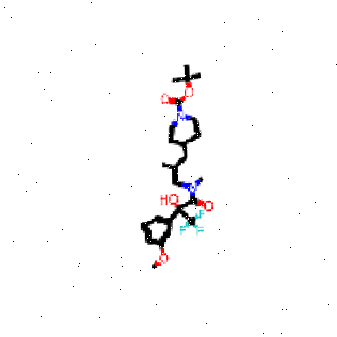 COc1cccc(C(O)(C(=O)N(C)CC(C)CC2CCN(C(=O)OC(C)(C)C)CC2)C(F)(F)F)c1